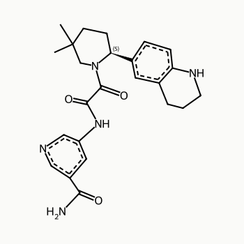 CC1(C)CC[C@@H](c2ccc3c(c2)CCCN3)N(C(=O)C(=O)Nc2cncc(C(N)=O)c2)C1